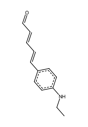 CCNc1ccc(C=CC=CC=O)cc1